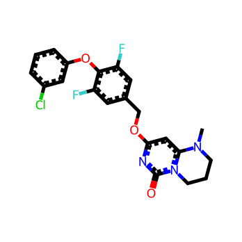 CN1CCCn2c1cc(OCc1cc(F)c(Oc3cccc(Cl)c3)c(F)c1)nc2=O